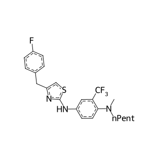 CCCCCN(C)c1ccc(Nc2nc(Cc3ccc(F)cc3)cs2)cc1C(F)(F)F